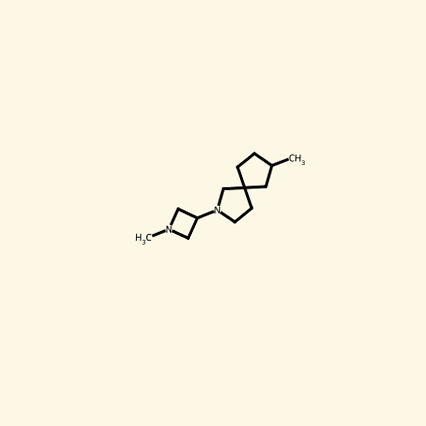 CC1CCC2(CCN(C3CN(C)C3)C2)C1